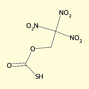 O=C(S)OCC([N+](=O)[O-])([N+](=O)[O-])[N+](=O)[O-]